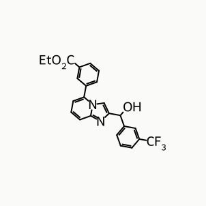 CCOC(=O)c1cccc(-c2cccc3nc(C(O)c4cccc(C(F)(F)F)c4)cn23)c1